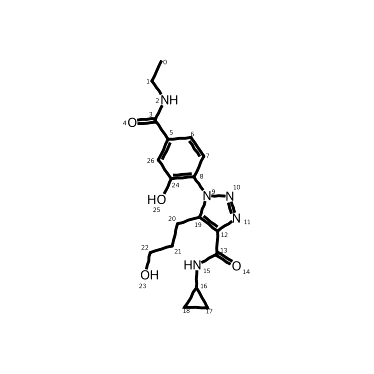 CCNC(=O)c1ccc(-n2nnc(C(=O)NC3CC3)c2CCCO)c(O)c1